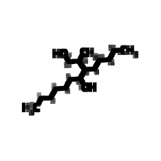 CCCCCCC(O)C(CCCCC)C(C)CO